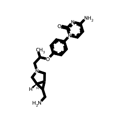 CC(CN1CC2C(CN)[C@@H]2C1)Oc1ccc(-n2ccc(N)nc2=O)cc1